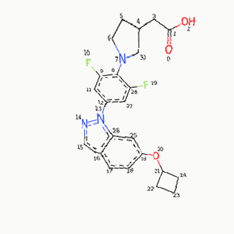 O=C(O)CC1CCN(c2c(F)cc(-n3ncc4ccc(OC5CCC5)cc43)cc2F)C1